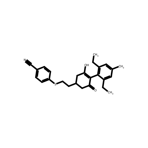 CCc1cc(C)cc(CC)c1C1=C(O)CC(CCSc2ccc(C#N)cc2)CC1=O